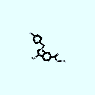 COC(=O)c1ccc2c(C)cn(Cc3ccc(Cl)cc3)c2c1